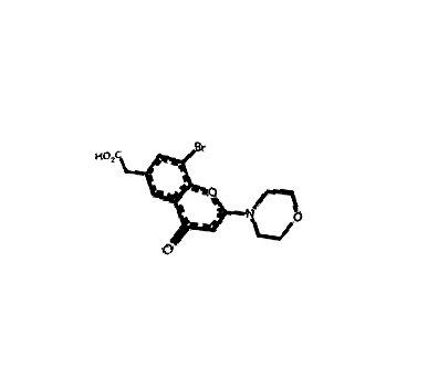 O=C(O)Cc1cc(Br)c2oc(N3CCOCC3)cc(=O)c2c1